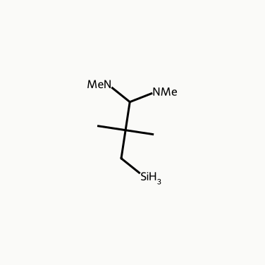 CNC(NC)C(C)(C)C[SiH3]